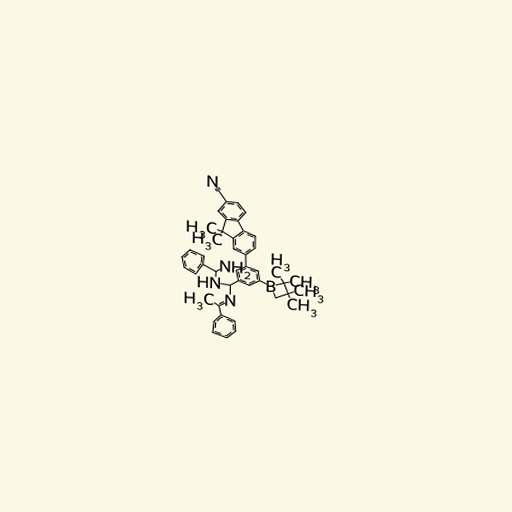 C/C(=N\C(NC(N)c1ccccc1)c1cc(B2CC(C)(C)C2(C)C)cc(-c2ccc3c(c2)C(C)(C)c2cc(C#N)ccc2-3)c1)c1ccccc1